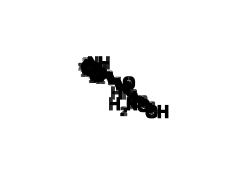 N[C@@H](CNC(=O)CCCCc1ccc2c(n1)NCCC2)COCO